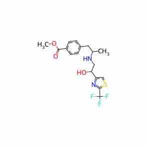 COC(=O)c1ccc(CC(C)NCC(O)c2csc(C(F)(F)F)n2)cc1